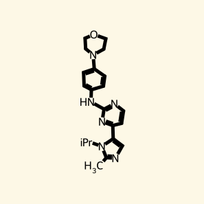 Cc1ncc(-c2ccnc(Nc3ccc(N4CCOCC4)cc3)n2)n1C(C)C